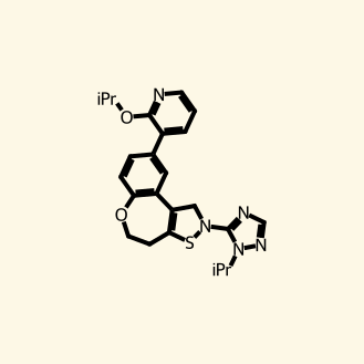 CC(C)Oc1ncccc1-c1ccc2c(c1)C1=C(CCO2)SN(c2ncnn2C(C)C)C1